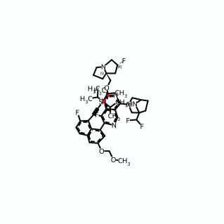 COCOc1cc(-c2ncc3c(N4CC5CCC(C(F)F)(C4)N5)nc(OC[C@@]45CCCN4C[C@H](F)C5)nc3c2F)c2c(C#C[Si](C(C)C)(C(C)C)C(C)C)c(F)ccc2c1